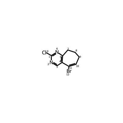 Clc1ncc2c(n1)CCCC=C2Br